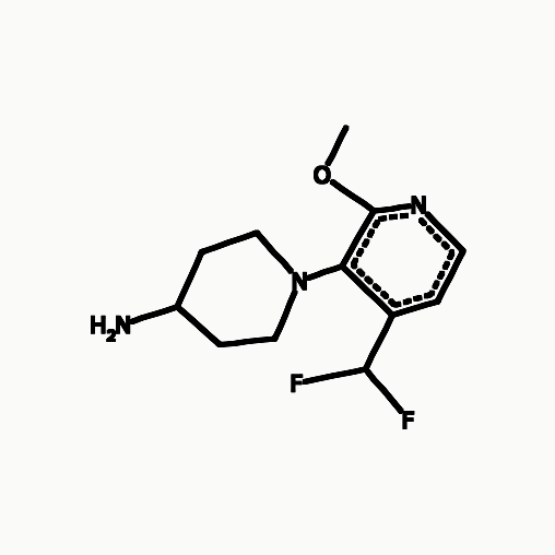 COc1nccc(C(F)F)c1N1CCC(N)CC1